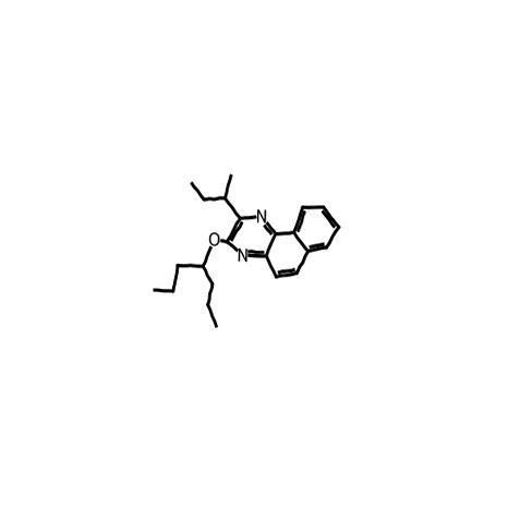 CCCC(CCC)Oc1nc2ccc3ccccc3c2nc1C(C)CC